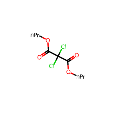 CCCOC(=O)C(Cl)(Cl)C(=O)OCCC